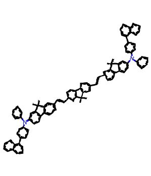 CC1(C)c2cc(/C=C/c3ccc4c(c3)C(C)(C)c3cc(N(c5ccccc5)c5ccc(-c6cccc7ccccc67)cc5)ccc3-4)ccc2-c2ccc(/C=C/c3ccc4c(c3)C(C)(C)c3cc(N(c5ccccc5)c5ccc(-c6cccc7ccccc67)cc5)ccc3-4)cc21